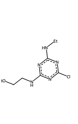 CCNc1nc(Cl)nc(NCCO)n1